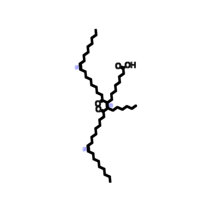 CCCCCCCC/C=C\CCCCCCCC(=O)/C(CCCCCC)=C(/CCCCCCCC(=O)O)C(=O)CCCCCCC/C=C\CCCCCCCC